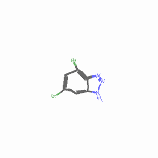 Brc1cc(Br)c2nn[nH]c2c1